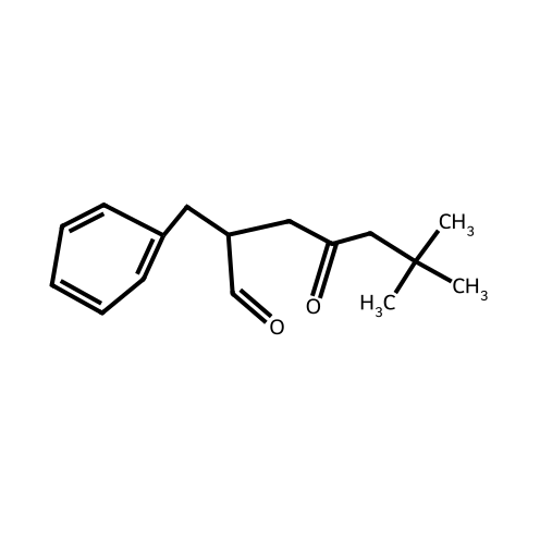 CC(C)(C)CC(=O)CC(C=O)Cc1ccccc1